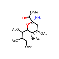 COC(=O)[C@@]1(N)C[C@@H](OC(C)=O)[C@@H](NC(C)=O)C(C(OC(C)=O)C(COC(C)=O)OC(C)=O)O1